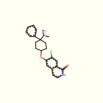 C[C@H](N)C1(c2ccccc2)CCC(Oc2cc3cc[nH]c(=O)c3cc2Cl)CC1